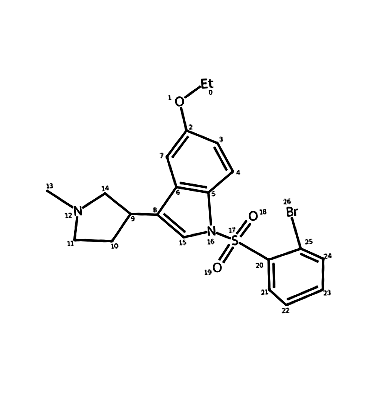 CCOc1ccc2c(c1)c(C1CCN(C)C1)cn2S(=O)(=O)c1ccccc1Br